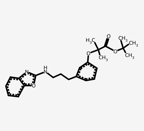 CC(C)(C)OC(=O)C(C)(C)Oc1cccc(CCCNc2nc3ccccc3o2)c1